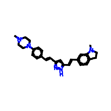 CN1CCN(c2ccc(/C=C/c3cc(/C=C/c4ccc5c(c4)N(C)CC5)[nH]n3)cc2)CC1